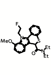 CCN(CC)C(=O)C1Sc2ccccc2-c2c1c1cccc(OC)c1n2CCF